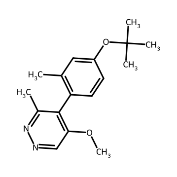 COc1cnnc(C)c1-c1ccc(OC(C)(C)C)cc1C